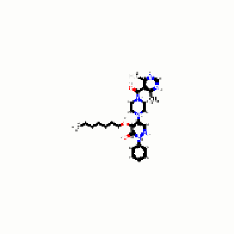 CCCCCCCOc1c(N2CCN(C(=O)c3c(C)ncnc3C)CC2)cnn(-c2ccccc2)c1=O